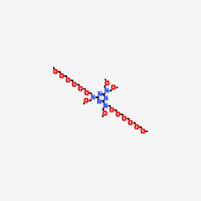 COCOCOCOCOCOCN(COC)c1nc(N(COC)COC)nc(N(COC)COCOCOCOCOCOC)n1